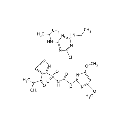 CCNc1nc(Cl)nc(NC(C)C)n1.COc1cc(OC)nc(NC(=O)NS(=O)(=O)c2ncccc2C(=O)N(C)C)n1